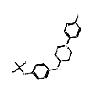 [O]c1ccc(N2CCC(Nc3ccc(OC(F)(F)F)cc3)CC2)cc1